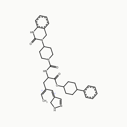 C/C=C(\C=C1\C=NNC1)CC(NC(=O)N1CCC(N2Cc3ccccc3NC2=O)CC1)C(=O)OC1CCC(c2ccccc2)CC1